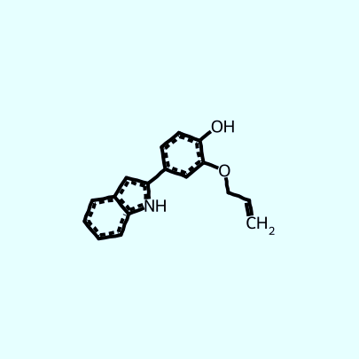 C=CCOc1cc(-c2cc3ccccc3[nH]2)ccc1O